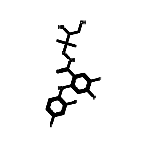 CC(C)(ONC(=O)c1cc(F)c(F)cc1Nc1ccc(I)cc1F)C(O)CO